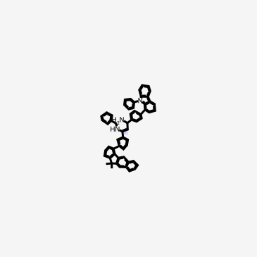 CC1(C)c2cc3ccccc3cc2-c2c(-c3cccc(/C(=C/C(N)c4ccc(-c5cccc6c7ccccc7n(-c7ccccc7)c56)cc4)NCc4ccccc4)c3)cccc21